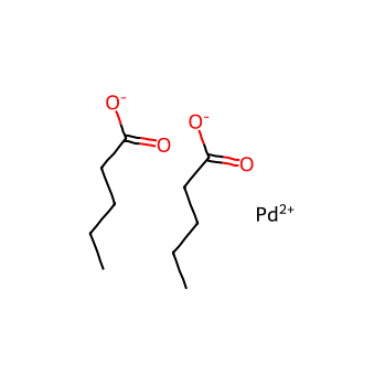 CCCCC(=O)[O-].CCCCC(=O)[O-].[Pd+2]